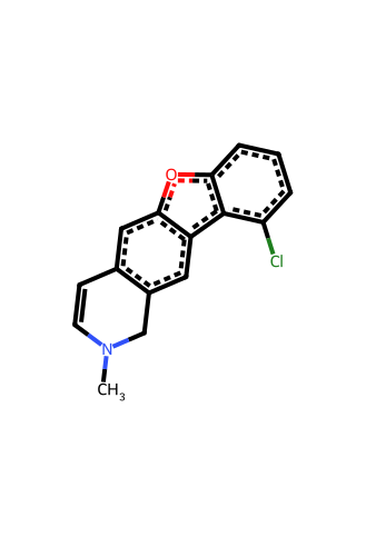 CN1C=Cc2cc3oc4cccc(Cl)c4c3cc2C1